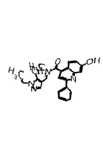 CCn1ncc(CN(C)C(=O)c2cc(-c3ccccc3)nc3cc(O)ccc23)c1C